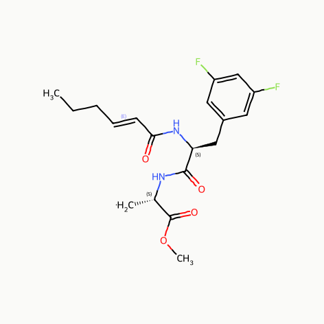 [CH2][C@H](NC(=O)[C@H](Cc1cc(F)cc(F)c1)NC(=O)/C=C/CCC)C(=O)OC